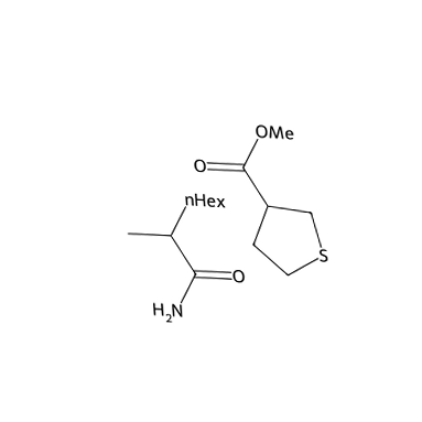 CCCCCCC(C)C(N)=O.COC(=O)C1CCSC1